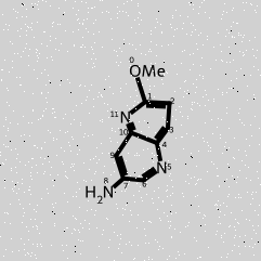 COc1ccc2ncc(N)cc2n1